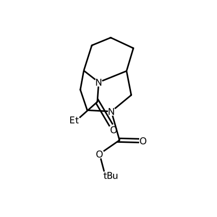 CCC(=O)N1C2CCCC1CN(C(=O)OC(C)(C)C)CC2